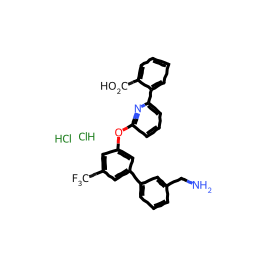 Cl.Cl.NCc1cccc(-c2cc(Oc3cccc(-c4ccccc4C(=O)O)n3)cc(C(F)(F)F)c2)c1